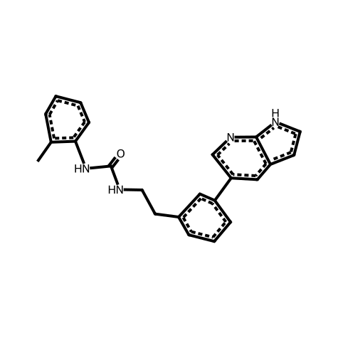 Cc1ccccc1NC(=O)NCCc1cccc(-c2cnc3[nH]ccc3c2)c1